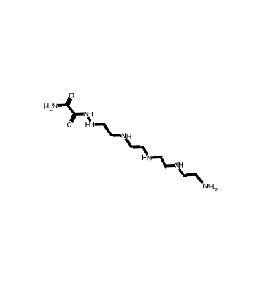 NCCNCCNCCNCCNNC(=O)C(N)=O